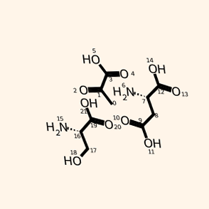 CC(=O)C(=O)O.N[C@@H](CC(=O)O)C(=O)O.N[C@@H](CO)C(=O)O